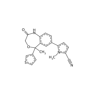 Cn1c(C#N)ccc1-c1ccc2c(c1)C(C)(c1ccsc1)OCC(=O)N2